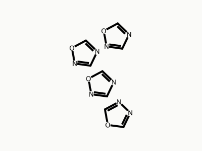 c1ncon1.c1ncon1.c1ncon1.c1nnco1